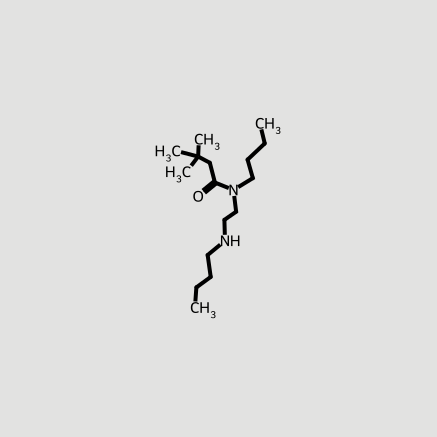 CCCCNCCN(CCCC)C(=O)CC(C)(C)C